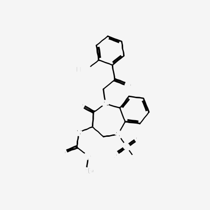 Cc1ccccc1C(=O)CN1C(=O)C(NC(=O)OC(C)(C)C)CN(S(C)(=O)=O)c2ccccc21